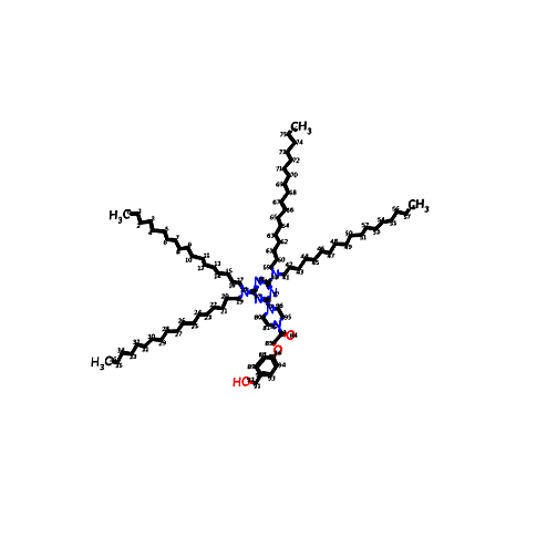 CCCCCCCCCCCCCCCCCCN(CCCCCCCCCCCCCCCCCC)c1nc(N(CCCCCCCCCCCCCCCCCC)CCCCCCCCCCCCCCCCCC)nc(N2CCN(C(=O)COc3ccc(CO)cc3)CC2)n1